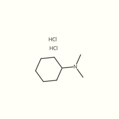 CN(C)C1CCCCC1.Cl.Cl